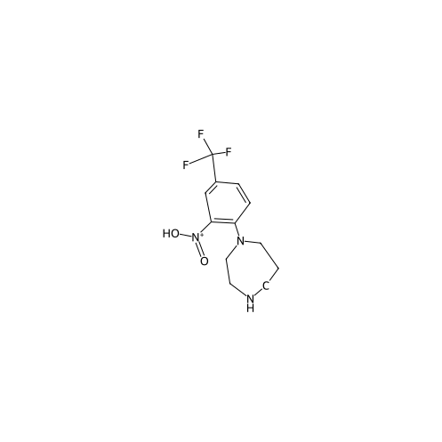 O=[N+](O)c1cc(C(F)(F)F)ccc1N1CCCNCC1